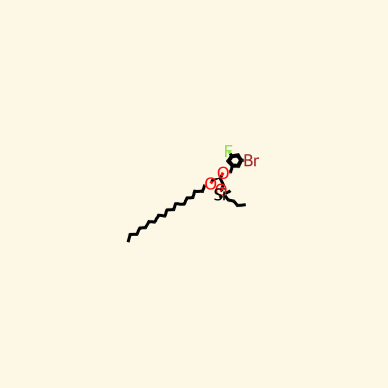 CCCCCCCCCCCCCCCCCCOC[C@H](CO[Si](C)(C)CCCC)OCc1cc(F)cc(Br)c1